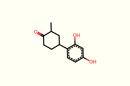 CC1CC(c2ccc(O)cc2O)CCC1=O